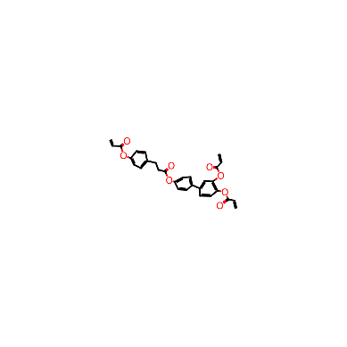 C=CC(=O)Oc1ccc(CCC(=O)Oc2ccc(-c3ccc(OC(=O)C=C)c(OC(=O)C=C)c3)cc2)cc1